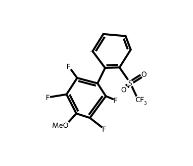 COc1c(F)c(F)c(-c2[c]cccc2S(=O)(=O)C(F)(F)F)c(F)c1F